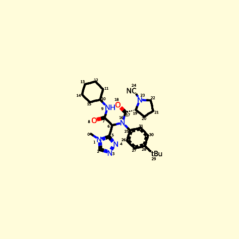 Cn1cnnc1C(C(=O)NC1CCCCC1)N(C(=O)[C@H]1CCCN1C#N)c1ccc(C(C)(C)C)cc1